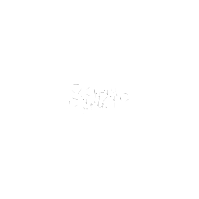 [CH2][C@H]1CN(C(c2ccccc2)(c2ccccc2)c2ccccc2)C[C@H](n2cnc3c(NC(=O)c4ccccc4)ncnc32)O1